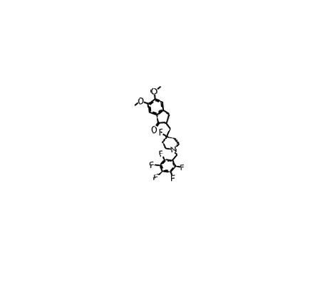 COc1cc2c(cc1OC)C(=O)C(CC1(F)CCN(Cc3c(F)c(F)c(F)c(F)c3F)CC1)C2